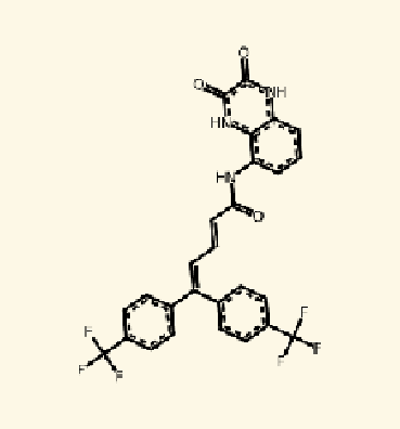 O=C(C=CC=C(c1ccc(C(F)(F)F)cc1)c1ccc(C(F)(F)F)cc1)Nc1cccc2[nH]c(=O)c(=O)[nH]c12